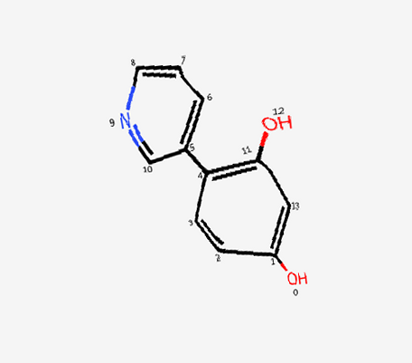 Oc1ccc(-c2cccnc2)c(O)c1